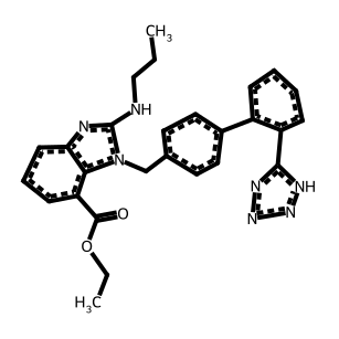 CCCNc1nc2cccc(C(=O)OCC)c2n1Cc1ccc(-c2ccccc2-c2nnn[nH]2)cc1